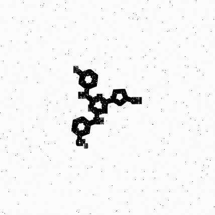 OC1CCN(c2nc(Nc3cccc(F)c3)nc(Nc3cccc(C(F)(F)F)c3)n2)C1